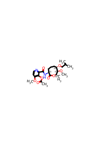 C=C(C)CO[C@H]1CCC[C@H](NC(=O)c2nccc(OC)c2OC(C)=O)C(=O)O[C@@H](C)[C@@H]1OC